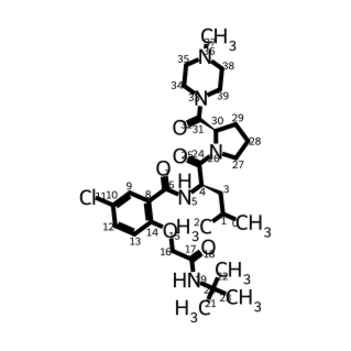 CC(C)C[C@@H](NC(=O)c1cc(Cl)ccc1OCC(=O)NC(C)(C)C)C(=O)N1CCC[C@@H]1C(=O)N1CCN(C)CC1